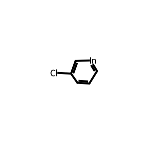 ClC1=[CH][In]=[CH]C=C1